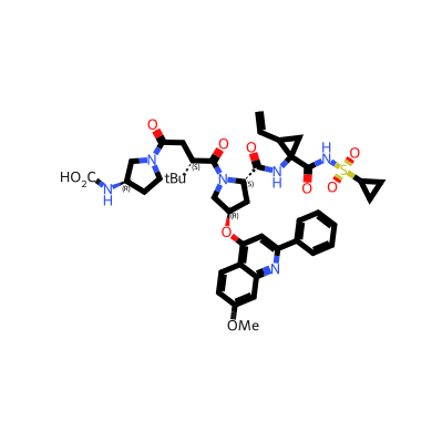 C=CC1CC1(NC(=O)[C@@H]1C[C@@H](Oc2cc(-c3ccccc3)nc3cc(OC)ccc23)CN1C(=O)[C@@H](CC(=O)N1CC[C@@H](NC(=O)O)C1)C(C)(C)C)C(=O)NS(=O)(=O)C1CC1